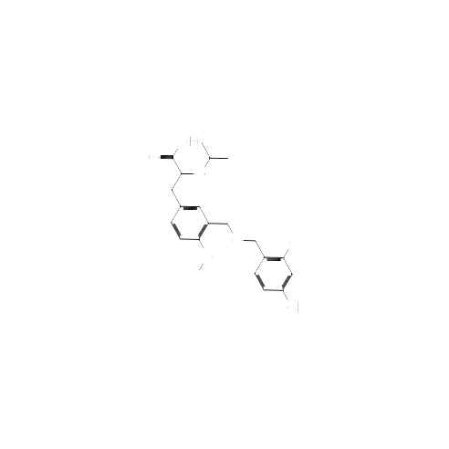 COc1ccc(CC(OC(C)C)C(=O)O)cc1COCc1ccc(Cl)cc1Cl